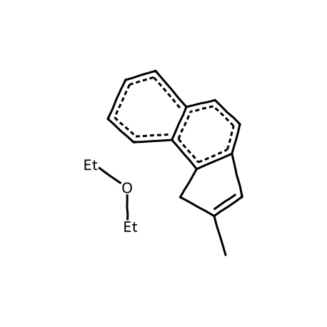 CC1=Cc2ccc3ccccc3c2C1.CCOCC